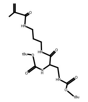 C=C(C)C(=O)NCCCNC(=O)C(CNC(=O)OC(C)(C)C)NC(=O)OC(C)(C)C